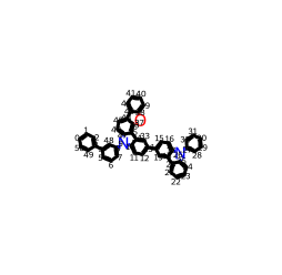 c1ccc(-c2cccc(-n3c4ccc(-c5ccc6c(c5)c5ccccc5n6-c5ccccc5)cc4c4c5oc6ccccc6c5ccc43)c2)cc1